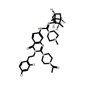 CC(=O)N1CCN(c2nc3cc(N/C(=N/[C@H]4C[C@@H]5C[C@H]([C@@H]4C)C5(C)C)N4CCN(C)CC4)ccc3c(=O)n2CCc2ccc(Cl)cc2Cl)CC1